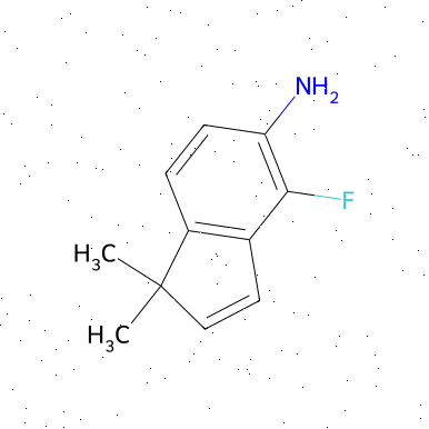 CC1(C)C=Cc2c1ccc(N)c2F